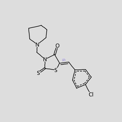 O=C1/C(=C/c2ccc(Cl)cc2)SC(=S)N1CN1CCCCC1